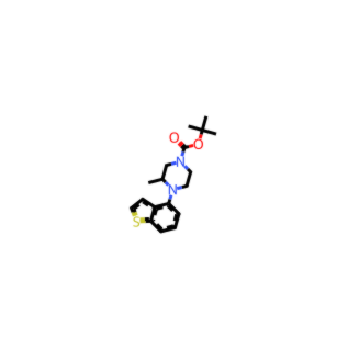 CC1CN(C(=O)OC(C)(C)C)CCN1c1cccc2sccc12